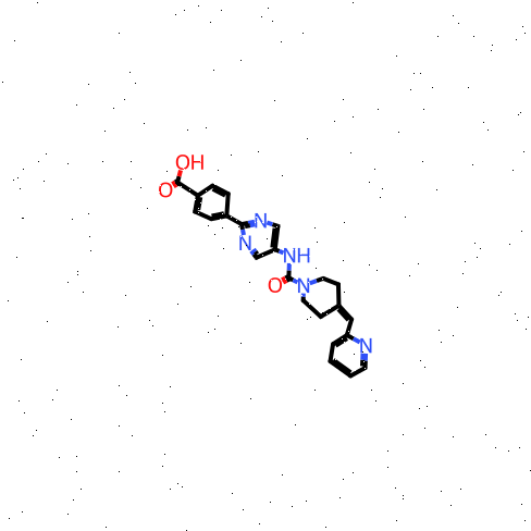 O=C(O)c1ccc(-c2ncc(NC(=O)N3CCC(=Cc4ccccn4)CC3)cn2)cc1